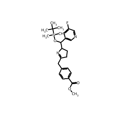 COC(=O)c1ccc(CC2=NC(C(O[Si](C)(C)C(C)(C)C)c3cncc(F)c3)CC2)cc1